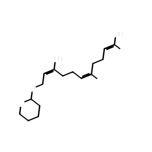 CC(C)=CCCC(C)=CCCC(C)=CCOC1CCCCO1